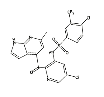 Cc1cc(C(=O)c2ncc(Cl)cc2NS(=O)(=O)c2ccc(Cl)c(C(F)(F)F)c2)c2cc[nH]c2n1